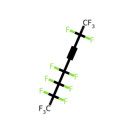 FC(F)(F)C(F)(F)C#CC(F)(F)C(F)(F)C(F)(F)C(F)(F)F